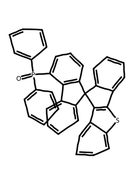 O=P(c1ccccc1)(c1ccccc1)c1cccc2c1-c1ccccc1C21c2ccccc2-c2sc3ccccc3c21